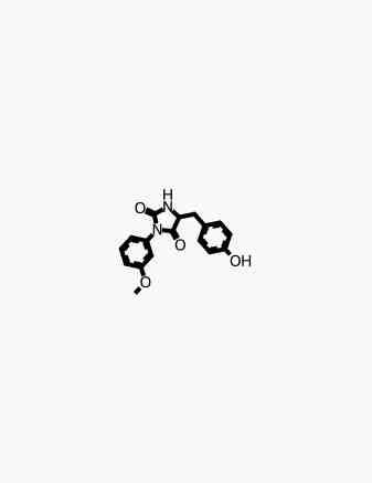 COc1cccc(N2C(=O)NC(Cc3ccc(O)cc3)C2=O)c1